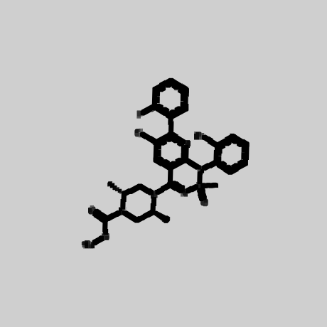 CC(C)c1ccccc1N1c2nc(-c3ccccc3F)c(Cl)cc2C(N2C[C@@H](C)N(C(=O)OC(C)(C)C)C[C@@H]2C)=NP1(C)=O